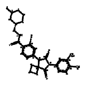 CN1CCC[C@@H](CNC(=O)c2ccc(N3C(=S)N(c4cnc(C#N)c(C(F)(F)F)c4)C(=O)C34CCC4)cc2F)C1